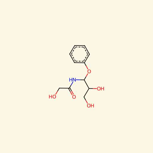 O=C(CO)NC(Oc1ccccc1)C(O)CO